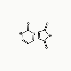 O=C1C=CC(=O)N1.O=c1nccc[nH]1